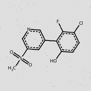 CS(=O)(=O)c1cncc(-c2c(O)[c]cc(Cl)c2F)c1